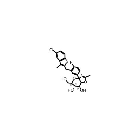 CC1=NC2(c3ccc(F)c(Cc4sc5ccc(Cl)cc5c4C)c3)O[C@H](CO)[C@@H](O)[C@H](O)C2O1